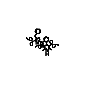 CCOC(=O)C1=C(C)NC(C)=C(C(=O)OCC)C1c1ccccc1Nc1nc(C(=O)OCC)c(Cc2ccccc2)s1